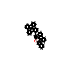 c1ccc2c(c1)-c1ccccc1C21c2cc(-c3cccc4c3-c3ccccc3C43c4ccccc4-c4ccccc43)ccc2Oc2cc3ccccc3cc21